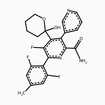 Cc1cc(F)c(-c2nc(C(N)=O)c(-c3cccnc3)c(C3(O)CCCCO3)c2F)c(F)c1